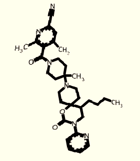 CCCCC1CN(c2ccccn2)C(=O)OC12CCN(C1(C)CCN(C(=O)c3c(C)cc(C#N)nc3C)CC1)CC2